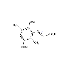 COc1cc(C)c(OC)c(/C=C/C(=O)O)c1C